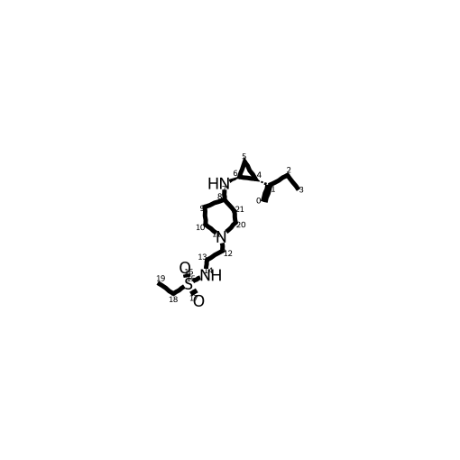 C=C(CC)[C@H]1C[C@@H]1NC1CCN(CCNS(=O)(=O)CC)CC1